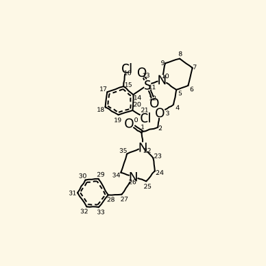 O=C(COCC1CCCCN1S(=O)(=O)c1c(Cl)cccc1Cl)N1CCCN(Cc2ccccc2)CC1